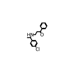 CC(NCCC(=O)c1ccccc1)c1ccc(Cl)cc1